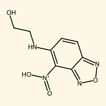 O=[N+](O)c1c(NCCO)ccc2nonc12